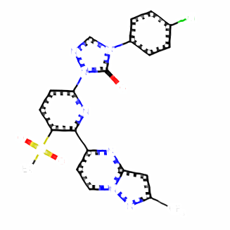 CCS(=O)(=O)c1ccc(-n2ncn(-c3ccc(Cl)cc3)c2=O)nc1-c1ccn2nc(C(F)(F)F)cc2n1